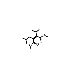 COC(=O)/C(CC(C)C)=C(\C(=O)OC)C(C)C